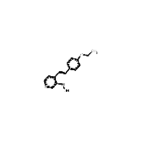 CCOc1ccc(C=Cc2ccncc2NO)cc1